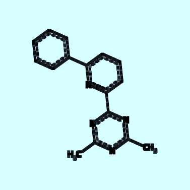 Cc1nc(C)nc(-c2cccc(-c3ccccc3)n2)n1